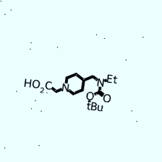 CCN(CC1CCN(CC(=O)O)CC1)C(=O)OC(C)(C)C